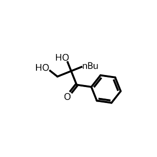 CCCCC(O)(CO)C(=O)c1ccccc1